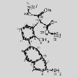 Cc1c(-c2ccc3cnc(N)cc3c2)cncc1N(C(=O)OC(C)(C)C)C(=O)OC(C)(C)C